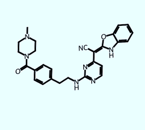 CN1CCN(C(=O)c2ccc(CCNc3nccc(C(C#N)=C4Nc5ccccc5O4)n3)cc2)CC1